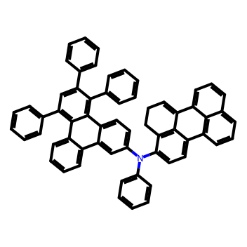 C1=c2c3cccc4cccc(c5ccc(N(c6ccccc6)c6ccc7c(c6)c6ccccc6c6c(-c8ccccc8)cc(-c8ccccc8)c(-c8ccccc8)c76)c(c25)CC1)c43